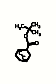 CC(C)(C)OC(=O)C1CC2CCC1CC2